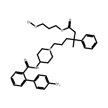 CCOCCCOC(=O)CC(C)(CCCN1CCC(NC(=O)c2ccccc2-c2ccc(C(F)(F)F)cc2)CC1)c1ccccc1